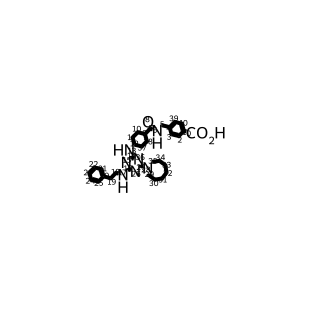 O=C(O)c1ccc(CNC(=O)C2CCC(Nc3nc(NCCc4ccccc4)nc(N4CCCCCCC4)n3)CC2)cc1